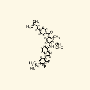 Cc1cc(Nc2nccn3c(-c4ccc(O[C@@H](C)C#N)c(F)c4F)cnc23)ccc1C(=O)N1CCN(CCN(C)C)CC1.O=CO